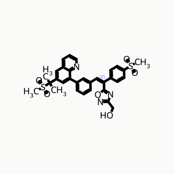 CC(C)(c1cc(-c2cccc(/C=C(/c3ccc(S(C)(=O)=O)cc3)c3nc(CO)no3)c2)c2ncccc2c1)S(C)(=O)=O